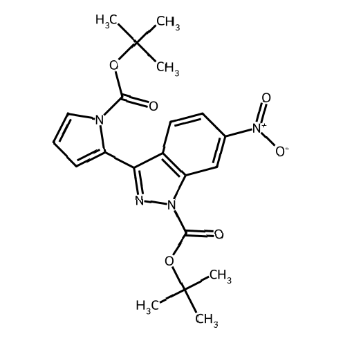 CC(C)(C)OC(=O)n1cccc1-c1nn(C(=O)OC(C)(C)C)c2cc([N+](=O)[O-])ccc12